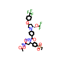 CCS(=O)(=O)c1ccc(C(CC(=O)N(C)OC(C)=O)NC(=O)c2ccc(N3C[C@@H](Oc4ccc(C(F)(F)F)cc4)C[C@H]3COC(F)F)cc2)cc1